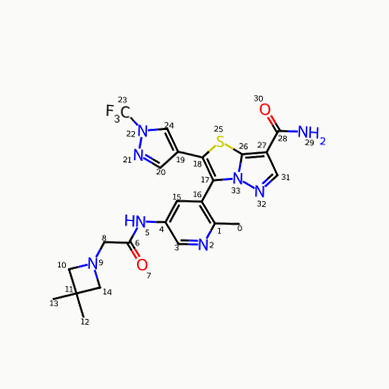 Cc1ncc(NC(=O)CN2CC(C)(C)C2)cc1-c1c(-c2cnn(C(F)(F)F)c2)sc2c(C(N)=O)cnn12